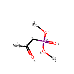 CCOP(=O)(CC(=O)NC)OCC